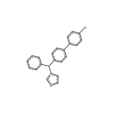 Clc1ccc(-c2ccc(C(c3ccccc3)n3ccnc3)cc2)cc1